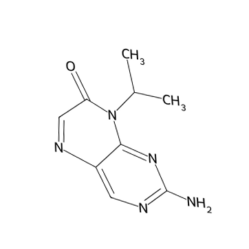 CC(C)n1c(=O)cnc2cnc(N)nc21